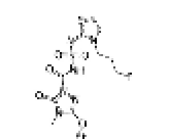 CCOc1nn(C(=O)NS(=O)(=O)/N=c2/sccn2CCCF)c(=O)n1C